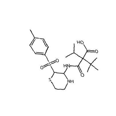 Cc1ccc(S(=O)(=O)C2SCCNC2NC(=O)C(C(=O)O)(C(C)C)C(C)(C)C)cc1